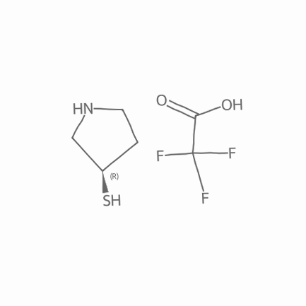 O=C(O)C(F)(F)F.S[C@@H]1CCNC1